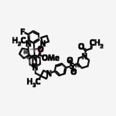 C=CC(=O)N1CCC[C@@H](S(=O)(=O)c2ccc(N3CC(C)(CN4CCC(C(CN5CCC5)(c5cccc(F)c5)[C@@]5(N=C)CCC[C@@H]5NC(=O)OC)CC4)C3)cc2)C1